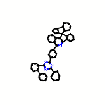 c1ccc(-c2nc(-c3ccc(-c4nc5c(c6ccccc46)C4(c6ccccc6-c6ccccc64)c4ccccc4-5)cc3)nc(-c3ccccc3-c3ccccc3)n2)cc1